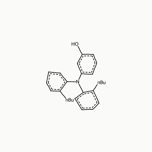 CCCCc1ccccc1N(c1cccc(O)c1)c1ccccc1CCCC